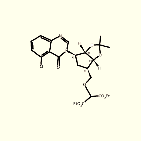 CCOC(=O)C(OC[C@H]1C[C@@H](n2cnc3cccc(Cl)c3c2=O)[C@@H]2OC(C)(C)O[C@H]12)C(=O)OCC